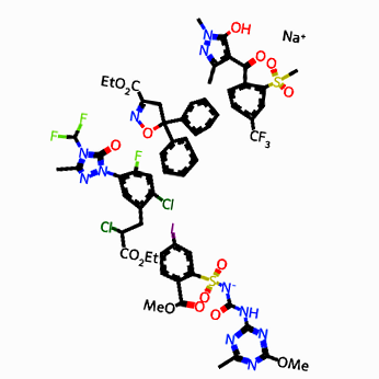 CCOC(=O)C(Cl)Cc1cc(-n2nc(C)n(C(F)F)c2=O)c(F)cc1Cl.CCOC(=O)C1=NOC(c2ccccc2)(c2ccccc2)C1.COC(=O)c1ccc(I)cc1S(=O)(=O)[N-]C(=O)Nc1nc(C)nc(OC)n1.Cc1nn(C)c(O)c1C(=O)c1ccc(C(F)(F)F)cc1S(C)(=O)=O.[Na+]